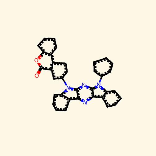 O=c1oc2ccccc2c2ccc(-n3c4ccccc4c4nc5c6ccccc6n(-c6ccccc6)c5nc43)cc12